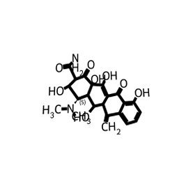 C=C1c2cccc(O)c2C(=O)C2=C(O)C3(O)C(=O)C(C(N)=O)C(O)[C@@H](N(C)C)C3C(O)C12